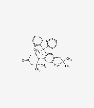 CC(C)(C)Cc1ccc(P2C(C)(C)CC(=O)CC2(C)C)c(C(P)(c2ccccn2)c2ccccn2)c1